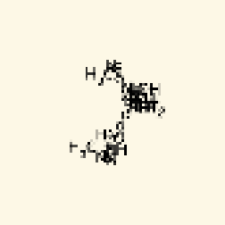 CCCc1cc(N[C@@H]2CC[C@@H](NC(=O)c3ccc(-c4ccc(CN[C@H](C(=O)N5C[C@H](O)C[C@H]5C(=O)NCc5ccc(-c6scnc6C)cc5)C(C)(C)C)cc4)cc3)C2)n2nccc2n1